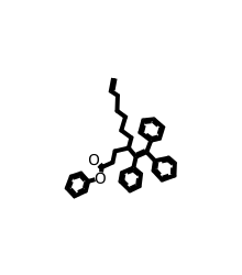 C=CCCCCCC(CCC(=O)Oc1ccccc1)C(=C(c1ccccc1)c1ccccc1)c1ccccc1